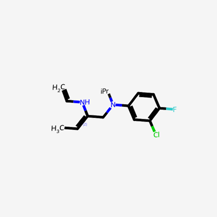 C=CN/C(=C\C)CN(c1ccc(F)c(Cl)c1)C(C)C